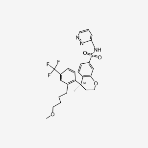 COCCCCc1cc(C(F)(F)F)ccc1[C@]1(C)CCOc2cc(S(=O)(=O)Nc3cccnn3)ccc21